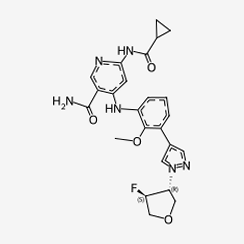 COc1c(Nc2cc(NC(=O)C3CC3)ncc2C(N)=O)cccc1-c1cnn([C@@H]2COC[C@H]2F)c1